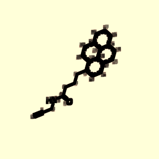 C#CCNC(=O)CCCc1ccc2ccc3cccc4ccc1c2c34